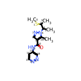 CSC(C)C(C)n1ncc(C(=O)Nc2ccnnc2)c1C